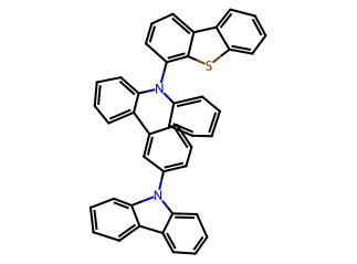 c1ccc(N(c2ccccc2-c2cccc(-n3c4ccccc4c4ccccc43)c2)c2cccc3c2sc2ccccc23)cc1